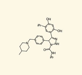 CC1CCN(Cc2ccc(C3C(c4cc(C(C)C)c(O)cc4O)=NNN3C(=O)NC(C)C)cc2)CC1